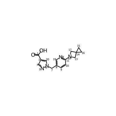 O=C(O)c1cnn(Cc2ccc(N3CC4(CC4)C3)nc2)c1